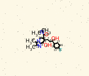 Cc1nc2c(O)c(CC[C@@H](O)c3ccc(F)cc3)c(C(=O)N(C)C)cn2c1C